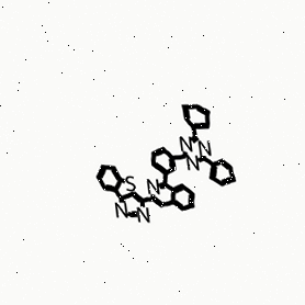 c1ccc(-c2nc(-c3ccccc3)nc(-c3cccc(-c4nc(-c5ncnc6c5sc5ccccc56)cc5ccccc45)c3)n2)cc1